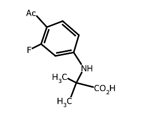 CC(=O)c1ccc(NC(C)(C)C(=O)O)cc1F